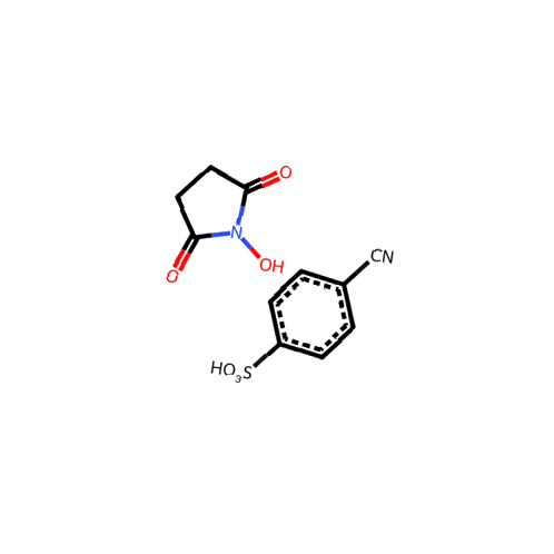 N#Cc1ccc(S(=O)(=O)O)cc1.O=C1CCC(=O)N1O